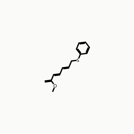 C=C(/C=C/C=C/CSc1ccccc1)OC